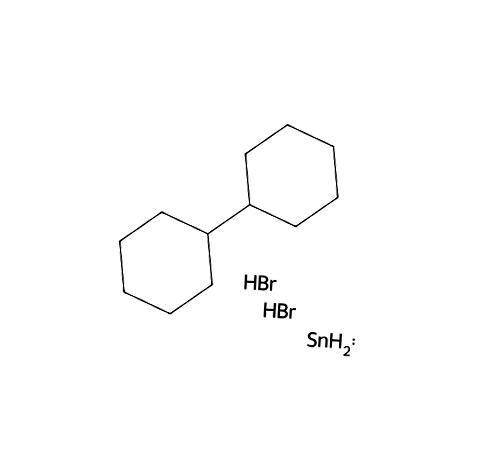 Br.Br.C1CCC(C2CCCCC2)CC1.[SnH2]